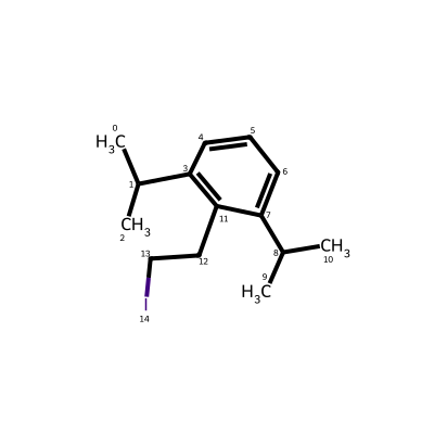 CC(C)c1cccc(C(C)C)c1CCI